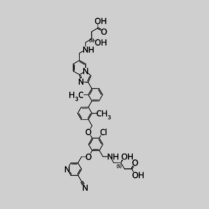 Cc1c(COc2cc(OCc3cncc(C#N)c3)c(CNC[C@@H](O)CC(=O)O)cc2Cl)cccc1-c1cccc(-c2cn3cc(CNC[C@@H](O)CC(=O)O)ccc3n2)c1C